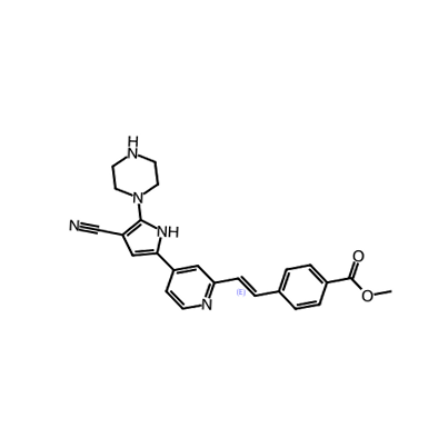 COC(=O)c1ccc(/C=C/c2cc(-c3cc(C#N)c(N4CCNCC4)[nH]3)ccn2)cc1